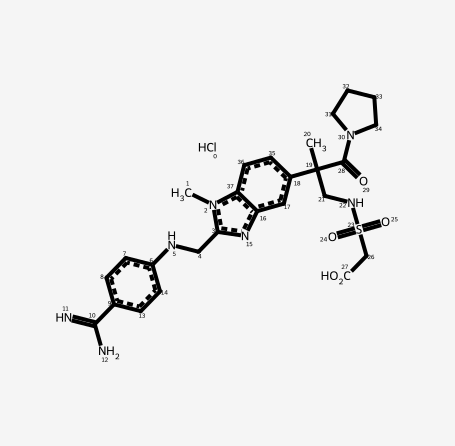 Cl.Cn1c(CNc2ccc(C(=N)N)cc2)nc2cc(C(C)(CNS(=O)(=O)CC(=O)O)C(=O)N3CCCC3)ccc21